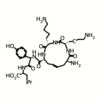 CC(C)C[C@H](NC(=O)[C@@H](NC(=O)[C@@H]1C/C=C/C[C@H](N)C(=O)N[C@@H](CCCCN)C(=O)N[C@@H](CCCCN)C(=O)N1)c1ccc(O)cc1)C(=O)O